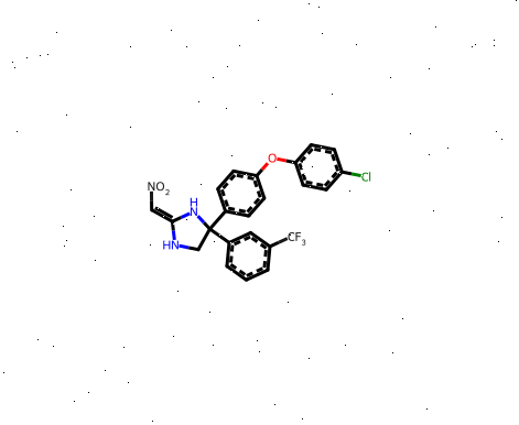 O=[N+]([O-])C=C1NCC(c2ccc(Oc3ccc(Cl)cc3)cc2)(c2cccc(C(F)(F)F)c2)N1